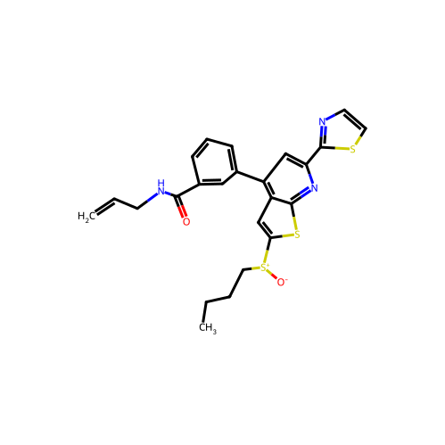 C=CCNC(=O)c1cccc(-c2cc(-c3nccs3)nc3sc([S+]([O-])CCCC)cc23)c1